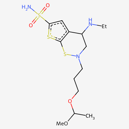 CCNC1CN(CCCOC(C)OC)Sc2sc(S(N)(=O)=O)cc21